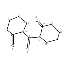 O=C1CCCCN1C(=O)N1CCCCC1=O